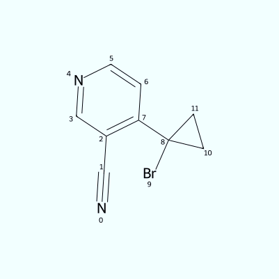 N#Cc1cnccc1C1(Br)CC1